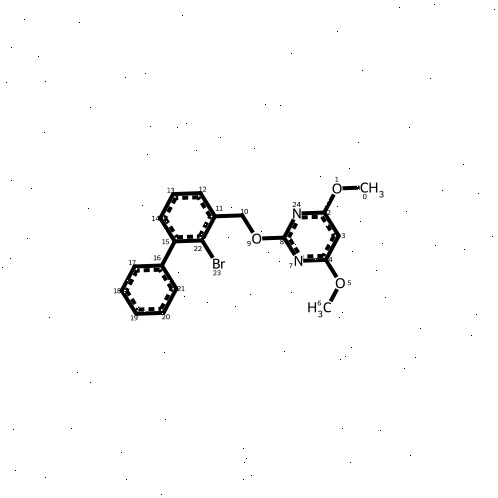 COc1cc(OC)nc(OCc2cccc(-c3ccccc3)c2Br)n1